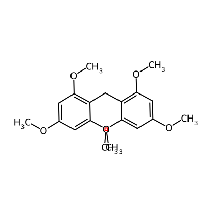 COc1cc(OC)c(Cc2c(OC)cc(OC)cc2OC)c(OC)c1